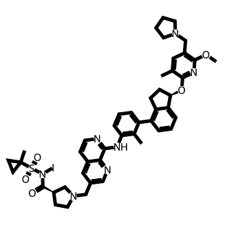 COc1nc(O[C@@H]2CCc3c(-c4cccc(Nc5nccc6cc(CN7CC[C@@H](C(=O)N(I)S(=O)(=O)C8(C)CC8)C7)cnc56)c4C)cccc32)c(C)cc1CN1CCCC1